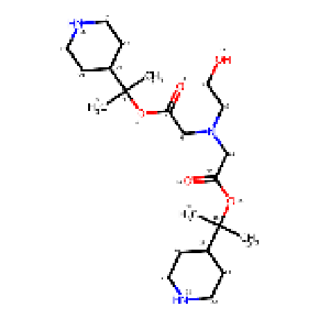 CC(C)(OC(=O)CN(CCO)CC(=O)OC(C)(C)C1CCNCC1)C1CCNCC1